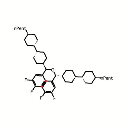 CCCCC[C@H]1CC[C@H]([C@H]2CC[C@H](C(OC(c3ccc(F)c(F)c3)[C@H]3CC[C@H]([C@H]4CC[C@H](CCCCC)CC4)CC3)c3ccc(F)c(F)c3)CC2)CC1